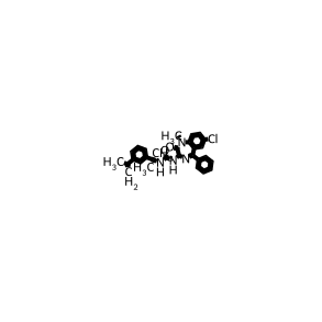 C=C(C)c1cccc(C(C)(C)NC(=O)NC2N=C(c3ccccc3)c3cc(Cl)ccc3N(C)C2=O)c1